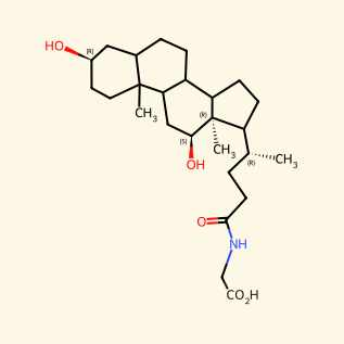 C[C@H](CCC(=O)NCC(=O)O)C1CCC2C3CCC4C[C@H](O)CCC4(C)C3C[C@H](O)[C@@]21C